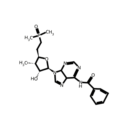 C[C@H]1[C@@H](O)[C@H](N2C=NC3C(NC(=O)c4ccccc4)=NC=NC32)O[C@@H]1CCP(C)(C)=O